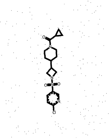 O=C(C1CC1)N1CCC(C2CN(S(=O)(=O)c3ccc(Cl)nc3)C2)CC1